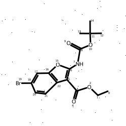 CCOC(=O)c1c(NC(=O)OC(C)(C)C)oc2cc(Br)ccc12